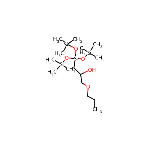 CC[CH]OCC(O)C[Si](O[Si](C)(C)C)(O[Si](C)(C)C)O[Si](C)(C)C